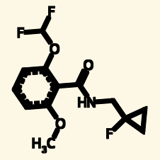 COc1cccc(OC(F)F)c1C(=O)NCC1(F)CC1